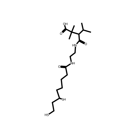 CC(C)C(C(=O)NCCNC(=O)CCCCC(S)CCS)C(C)(C)C(=O)O